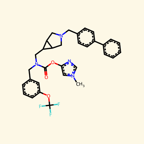 Cn1cnc(OC(=O)N(Cc2cccc(OC(F)(F)F)c2)CC2C3CN(Cc4ccc(-c5ccccc5)cc4)CC32)c1